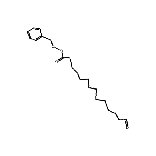 O=CCCCCCCCCCCCCC(=O)OOCc1ccccc1